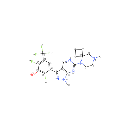 CN1CCN(c2ncc3c(-c4cc(C(F)(F)F)c(F)c(O)c4F)nn(C)c3n2)C2(CCC2)C1